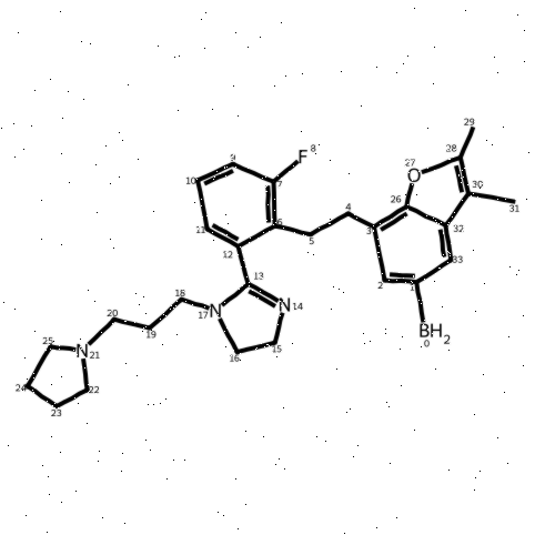 Bc1cc(CCc2c(F)cccc2C2=NCCN2CCCN2CCCC2)c2oc(C)c(C)c2c1